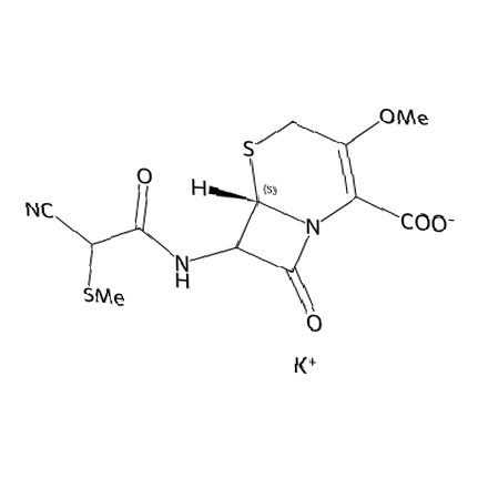 COC1=C(C(=O)[O-])N2C(=O)C(NC(=O)C(C#N)SC)[C@@H]2SC1.[K+]